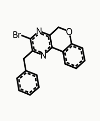 Brc1nc2c(nc1Cc1ccccc1)-c1ccccc1OC2